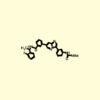 CNC(=O)Nc1cccc(-c2cnc3cc(-c4cccc(C(=O)NC(C)c5ccccc5F)c4)cnn23)c1